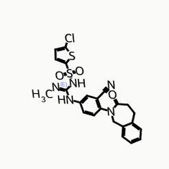 C/N=C(\Nc1ccc(N2Cc3ccccc3CCC2=O)c(C#N)c1)NS(=O)(=O)c1ccc(Cl)s1